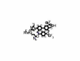 C/N=C(/CCOC)O/C(=C/c1cc(-c2cc(F)c(CO)c(S(C)(=O)=O)c2)ccc1-n1cc(C(F)(F)F)nc1C)c1ccc(OC(F)(F)F)cc1